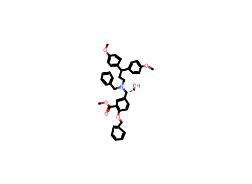 COC(=O)c1cc([C@@H](CO)N(CCC(c2ccc(OC)cc2)c2ccc(OC)cc2)Cc2ccccc2)ccc1OCc1ccccc1